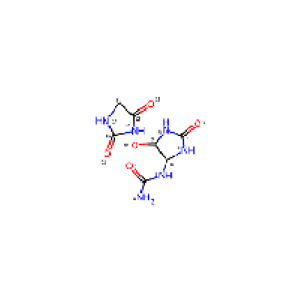 NC(=O)NC1NC(=O)NC1=O.O=C1CNC(=O)N1